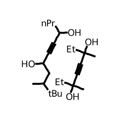 CCC(C)(O)C#CC(C)(O)CC.CCCC(O)C#CC(O)CC(C)C(C)(C)C